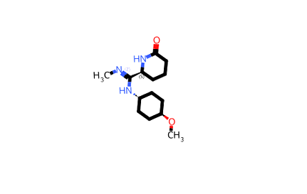 C/N=C(\N[C@H]1CC[C@H](OC)CC1)[C@@H]1CCCC(=O)N1